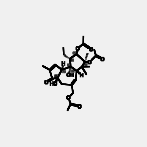 CC[C@@H]1[C@@H](OC(C)=O)[C@@](C)(OC(C)=O)C(C)(C)[C@@H]2C=C(COC(C)=O)C[C@]3(O)C(=O)C(C)=C[C@H]3[C@@]12O